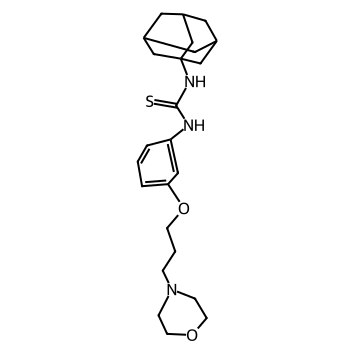 S=C(Nc1cccc(OCCCN2CCOCC2)c1)NC12CC3CC(CC(C3)C1)C2